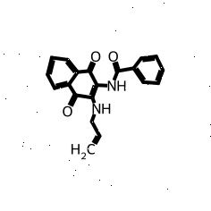 C=CCNC1=C(NC(=O)c2ccccc2)C(=O)c2ccccc2C1=O